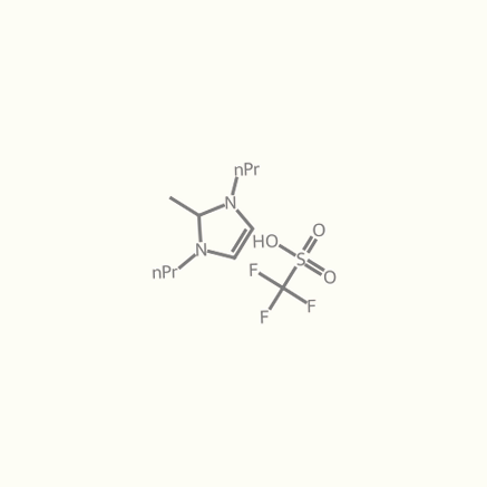 CCCN1C=CN(CCC)C1C.O=S(=O)(O)C(F)(F)F